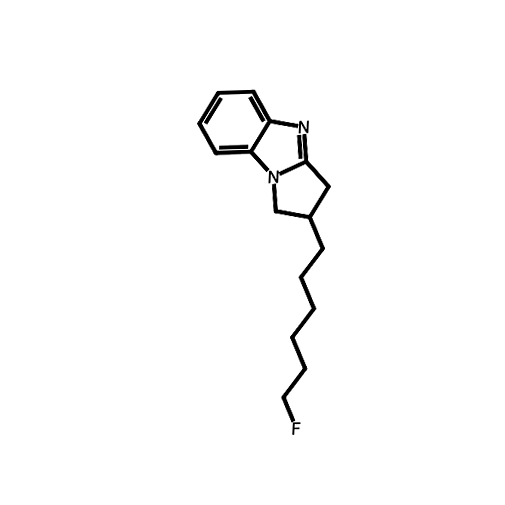 FCCCCCCC1Cc2nc3ccccc3n2C1